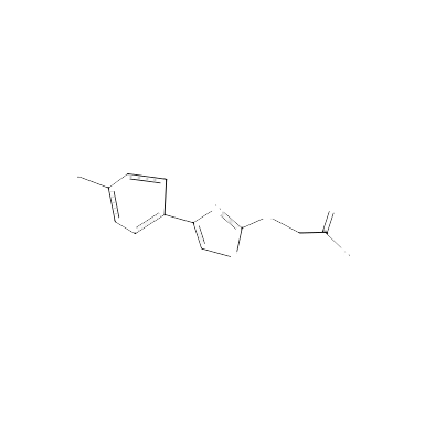 NC(=O)CSc1nc(-c2ccc(Cl)cc2)cs1